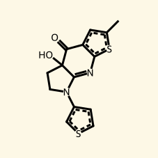 Cc1cc2c(s1)N=C1N(c3ccsc3)CCC1(O)C2=O